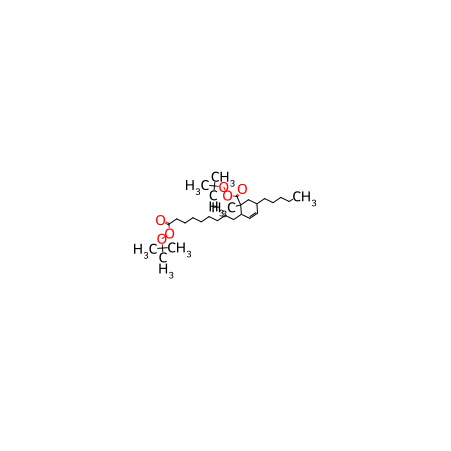 CCCCCC1C=CC(CCCCCCCCC(=O)OOC(C)(C)C)C(C)(C(=O)OOC(C)(C)C)C1